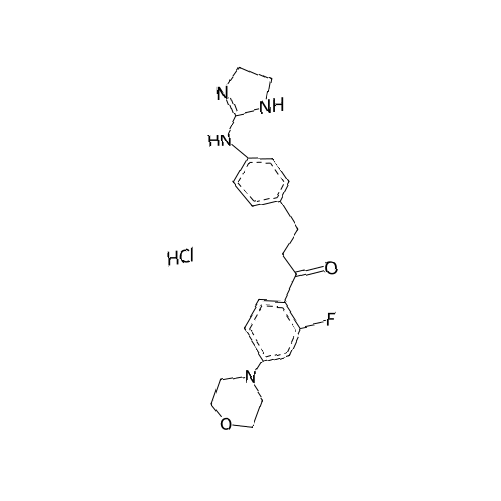 Cl.O=C(CCc1ccc(NC2=NCCN2)cc1)c1ccc(N2CCOCC2)cc1F